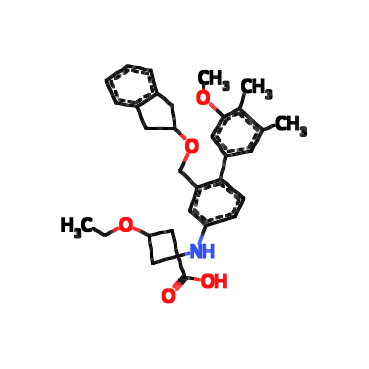 CCOC1CC(Nc2ccc(-c3cc(C)c(C)c(OC)c3)c(COC3Cc4ccccc4C3)c2)(C(=O)O)C1